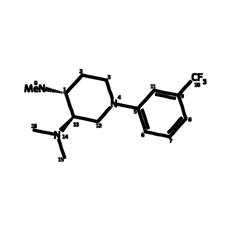 CN[C@@H]1CCN(c2cccc(C(F)(F)F)c2)C[C@H]1N(C)C